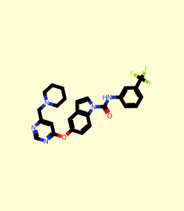 O=C(Nc1cccc(C(F)(F)F)c1)n1ccc2cc(Oc3cc(CN4CCCCC4)ncn3)ccc21